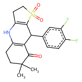 CC1(C)CCC2=C(C1=O)C(c1ccc(F)c(F)c1)C1=C(CCS1(=O)=O)N2